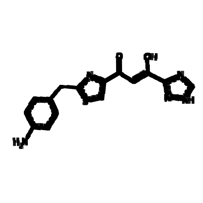 Nc1ccc(Cc2nc(C(=O)C=C(O)c3nc[nH]n3)cs2)cc1